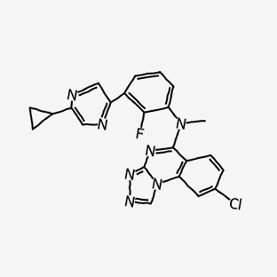 CN(c1cccc(-c2cnc(C3CC3)cn2)c1F)c1nc2nncn2c2cc(Cl)ccc12